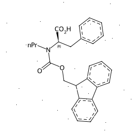 CCCN(C(=O)OCC1c2ccccc2-c2ccccc21)[C@H](Cc1ccccc1)C(=O)O